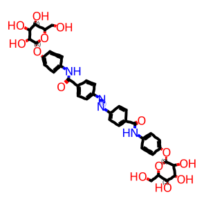 O=C(Nc1ccc(O[C@@H]2OC(CO)[C@@H](O)C(O)C2O)cc1)c1ccc(/N=N/c2ccc(C(=O)Nc3ccc(O[C@H]4OC(CO)[C@H](O)C(O)C4O)cc3)cc2)cc1